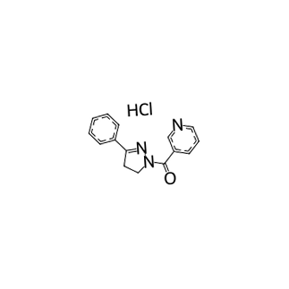 Cl.O=C(c1cccnc1)N1CCC(c2ccccc2)=N1